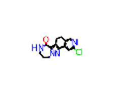 O=C1NCCCn2nc3c(c21)CCc1cnc(Cl)cc1-3